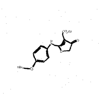 CCCOc1ccc(NC2=C(C(=O)OCC)C(=O)CO2)cc1